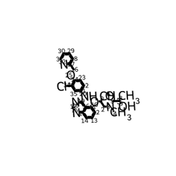 C[C@H](CN(C)C(=O)[C@@H](C)O)Oc1cccc2ncnc(Nc3ccc(OCc4ccccn4)c(Cl)c3)c12